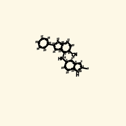 Cc1cc2cc(Nc3c(C#N)cnc4sc(-c5ccccc5)cc34)ccc2[nH]1